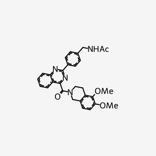 COc1ccc2c(c1OC)CCN(C(=O)c1nc(-c3ccc(CNC(C)=O)cc3)nc3ccccc13)C2